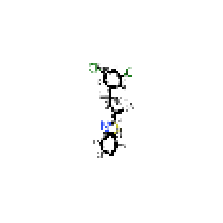 C=C(CC(C)(c1cc(Cl)cc(Cl)c1)C(F)(F)F)c1nc2ccccc2s1